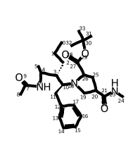 CCC[C@@H](C(C)NC(C)=O)[C@H](Cc1ccccc1)N1CC(C(=O)NC)CC1C(=O)OC(C)(C)C